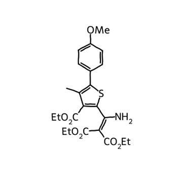 CCOC(=O)C(C(=O)OCC)=C(N)c1sc(-c2ccc(OC)cc2)c(C)c1C(=O)OCC